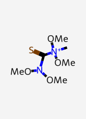 CON(OC)C(=S)[N+](C)(OC)OC